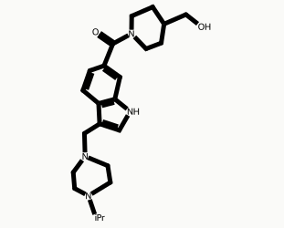 CC(C)N1CCN(Cc2c[nH]c3cc(C(=O)N4CCC(CO)CC4)ccc23)CC1